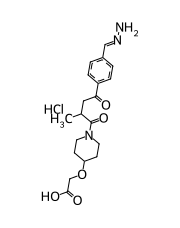 CC(CC(=O)c1ccc(C=NN)cc1)C(=O)N1CCC(OCC(=O)O)CC1.Cl